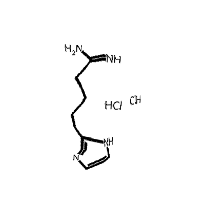 Cl.Cl.N=C(N)CCCc1ncc[nH]1